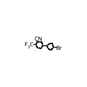 N#Cc1cc(-c2ccc(Br)cc2)ccc1C(F)(F)F